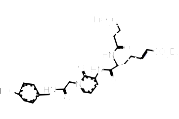 CCOC(=O)/C=C/CC[C@H](NC(=O)CCC(=O)O)C(=O)Nc1cccn(CC(=O)NCc2ccc(C(F)(F)F)cc2)c1=O